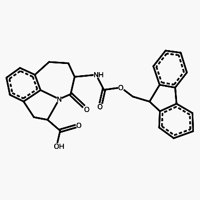 O=C(NC1CCc2cccc3c2N(C1=O)C(C(=O)O)C3)OCC1c2ccccc2-c2ccccc21